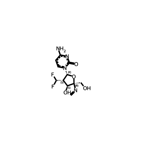 C=N[C@]1(CO)O[C@@H](n2ccc(N)nc2=O)[C@@H](C(F)F)[C@@H]1O